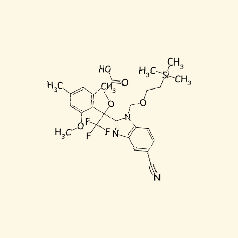 COc1cc(C)cc(C)c1C(OCC(=O)O)(c1nc2cc(C#N)ccc2n1COCC[Si](C)(C)C)C(F)(F)F